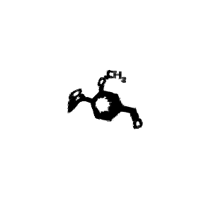 COc1cc(C=O)ccc1C1CO1